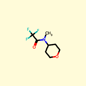 CN(C(=O)C(F)(F)F)C1CCOCC1